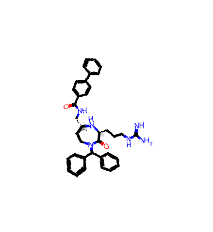 N=C(N)NCCC[C@@H]1N[C@@H](CNC(=O)c2ccc(-c3ccccc3)cc2)CCN(C(c2ccccc2)c2ccccc2)C1=O